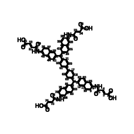 O=C(O)/C=C/C(=O)Nc1ccc2cc(C(c3ccc(-c4ccc(C(c5ccc6cc(NC(=O)/C=C/C(=O)O)ccc6c5)c5ccc6cc(NC(=O)/C=C/C(=O)O)ccc6c5)cc4)cc3)c3ccc4cc(NC(=O)/C=C/C(=O)O)ccc4c3)ccc2c1